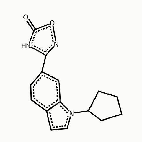 O=c1[nH]c(-c2ccc3ccn(C4CCCC4)c3c2)no1